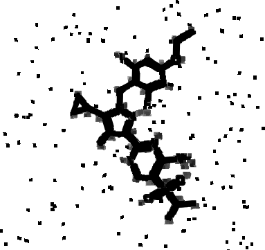 CCOc1cc(F)c(Cn2nc(-c3ncc(S(=O)(=O)C(C)C)c(N)n3)c(C)c2C2CC2)c(F)c1